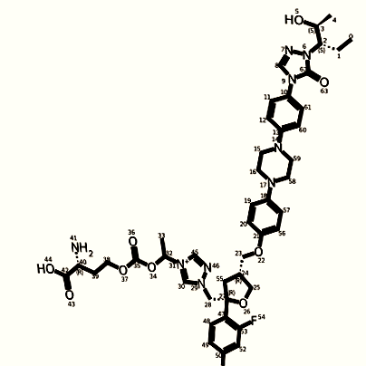 CC[C@@H]([C@H](C)O)n1ncn(-c2ccc(N3CCN(c4ccc(OC[C@@H]5CO[C@@](Cn6c[n+](C(C)OC(=O)OCC[C@@H](N)C(=O)O)cn6)(c6ccc(F)cc6F)C5)cc4)CC3)cc2)c1=O